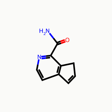 NC(=O)c1nccc2c1CC=C2